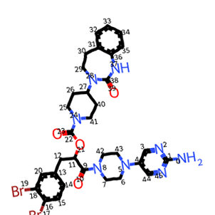 Nc1ncc(N2CCN(C(=O)C(Cc3ccc(Br)c(Br)c3)OC(=O)N3CCC(N4CCc5ccccc5NC4=O)CC3)CC2)cn1